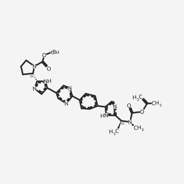 C=C(C)OC(=O)N(C)[C@@H](C)c1ncc(-c2ccc(-c3ncc(-c4cnc([C@@H]5CCCN5C(=O)OC(C)(C)C)[nH]4)cn3)cc2)[nH]1